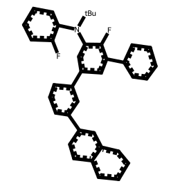 CC(C)(C)N(c1ccccc1F)c1cc(-c2cccc(-c3ccc4ccccc4c3)c2)cc(-c2ccccc2)c1F